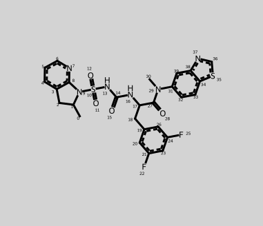 CC1Cc2cccnc2N1S(=O)(=O)NC(=O)NC(Cc1cc(F)cc(F)c1)C(=O)N(C)c1ccc2scnc2c1